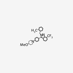 COC1CCN(c2ccc(-c3c4cccc(C(F)(F)F)c4nn3Cc3ccccc3C)cc2)CC1